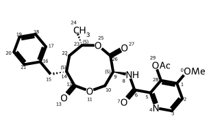 COc1ccnc(C(=O)N[C@H]2COC(=O)[C@H](Cc3ccccc3)[CH][C@H](C)OC2=O)c1OC(C)=O